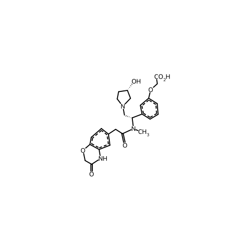 CN(C(=O)Cc1ccc2c(c1)NC(=O)CO2)[C@H](CN1CC[C@H](O)C1)c1cccc(OCC(=O)O)c1